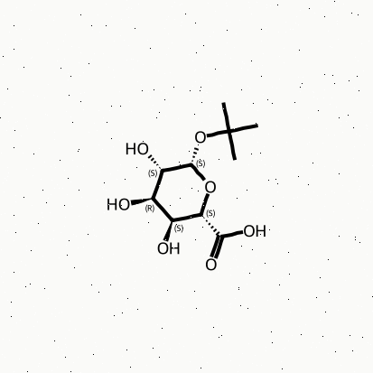 CC(C)(C)O[C@@H]1O[C@H](C(=O)O)[C@@H](O)[C@@H](O)[C@@H]1O